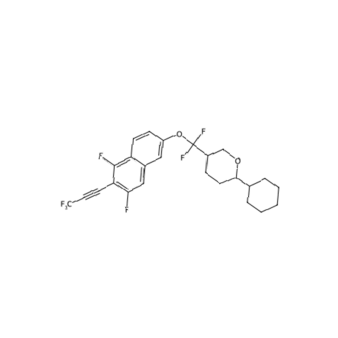 Fc1cc2cc(OC(F)(F)C3CCC(C4CCCCC4)OC3)ccc2c(F)c1C#CC(F)(F)F